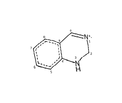 C1=[N+]CNc2ccccc21